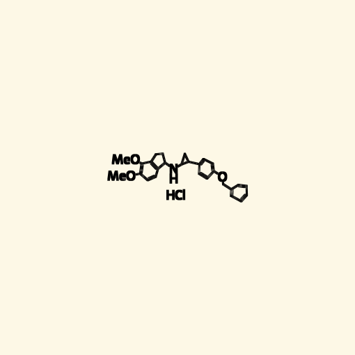 COc1ccc2c(c1OC)CCC2NC1CC1c1ccc(OCc2ccccc2)cc1.Cl